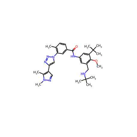 COc1c(CNC(C)(C)C)cc(NC(=O)c2ccc(C)c(-n3cc(-c4cnn(C)c4C)nn3)c2)cc1C(C)(C)C